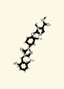 COC(=O)c1cnc(Oc2ccc(-n3ncn(Cc4c(F)cccc4F)c3=O)cc2F)n1C